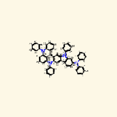 c1ccc(N(c2ccccc2)c2ccc3c4cc5c(cc4n(-c4ccccc4)c3c2)B2c3ccccc3N(c3ccccc3)c3cccc(c32)N5c2ccccc2)cc1